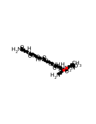 C[C@@H](CCCCNC(=O)[C@H](CCCCN)NC(=O)CCCC(=O)NCCOCCOCC(=O)NCCOCCOCC(=O)NCCCCCC(N)=O)C(N)=O